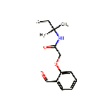 CCC(C)(C)NC(=O)COc1ccccc1C=O